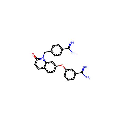 N=C(N)c1ccc(Cn2c(=O)ccc3ccc(Oc4cccc(C(=N)N)c4)cc32)cc1